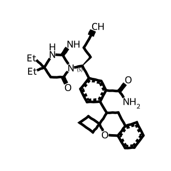 C#CCC[C@@H](c1ccc(C2Cc3ccccc3OC23CCC3)c(C(N)=O)c1)N1C(=N)NC(CC)(CC)CC1=O